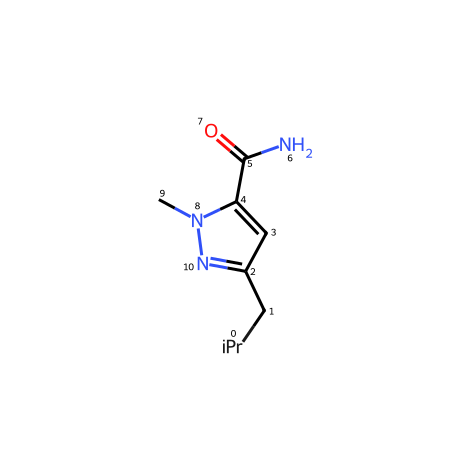 CC(C)Cc1cc(C(N)=O)n(C)n1